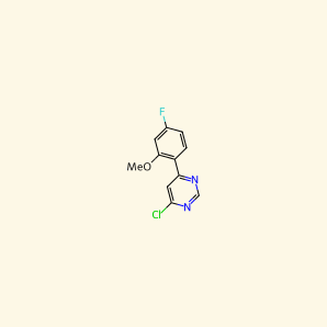 COc1cc(F)ccc1-c1cc(Cl)ncn1